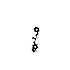 O=C(NCCc1ccccc1)NCc1ccc2[nH]ccc2c1